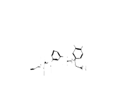 C=CCNC(=O)Nc1cccc(OC(=O)N(CC#N)c2ccc(C)c(C)c2)c1